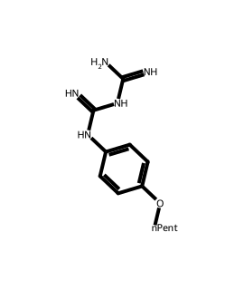 CCCCCOc1ccc(NC(=N)NC(=N)N)cc1